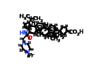 C=C(C)[C@@H]1CC[C@]2(NC(=O)CN3CCN(C(C)C)CC3)CCC3(C)[C@H](CC[C@@H]4[C@@]5(C)CC=C(c6ccc(C(=O)O)cc6)C(C)(C)[C@@H]5CC[C@]43C)[C@@H]12